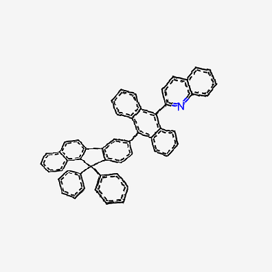 c1ccc(C2(c3ccccc3)c3ccc(-c4c5ccccc5c(-c5ccc6ccccc6n5)c5ccccc45)cc3-c3ccc4ccccc4c32)cc1